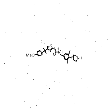 COc1ccc(C(C)(C)c2csc(NC(=O)NCc3cc(F)c(N4CCNCC4)c(F)c3)n2)cc1